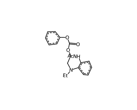 CCN(CCOC(=O)Oc1ccccc1)c1ccccc1NC(C)=O